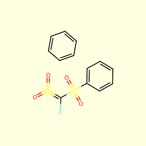 O=S(=O)=C(F)S(=O)(=O)c1ccccc1.c1ccccc1